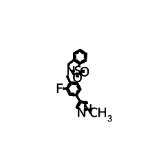 Cn1cc(-c2ccc(CN3Cc4ccccc4S3(=O)=O)c(F)c2)cn1